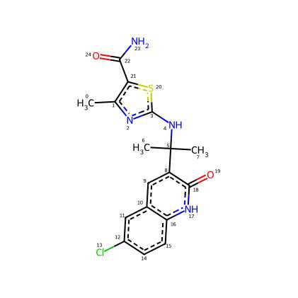 Cc1nc(NC(C)(C)c2cc3cc(Cl)ccc3[nH]c2=O)sc1C(N)=O